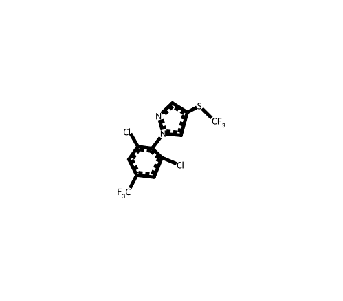 FC(F)(F)Sc1cnn(-c2c(Cl)cc(C(F)(F)F)cc2Cl)c1